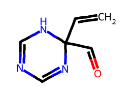 C=CC1(C=O)N=CN=CN1